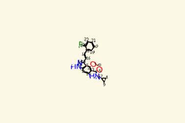 COc1c(C(=O)NC2CC2)ccc2[nH]nc(/C=C/c3ccccc3F)c12